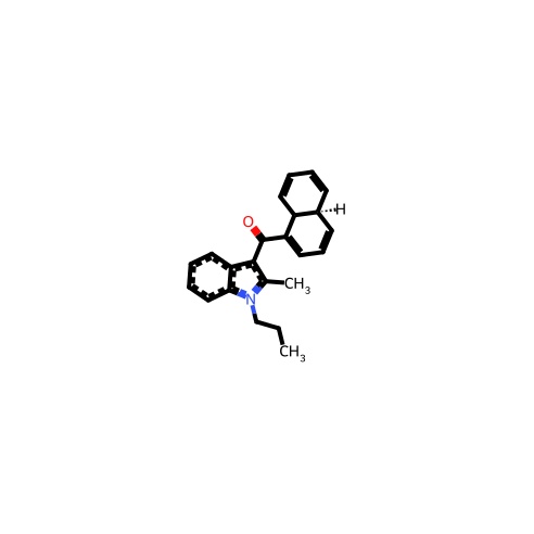 CCCn1c(C)c(C(=O)C2=CC=C[C@@H]3C=CC=CC23)c2ccccc21